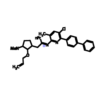 C=CCOC1C(C/C(CCC)=N/c2nc(-c3ccc(-c4ccccc4)cc3)c(Cl)cc2C)CCC1NC